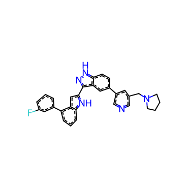 Fc1cccc(-c2cccc3[nH]c(-c4n[nH]c5ccc(-c6cncc(CN7CCCC7)c6)cc45)cc23)c1